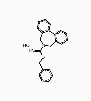 Cl.N=C(OCc1ccccc1)N1Cc2ccccc2-c2ccccc2C1